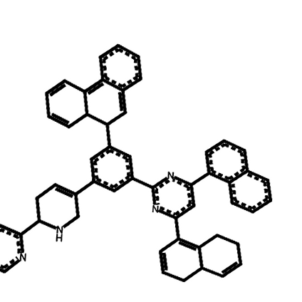 C1=CC2=c3ccccc3=CC(c3cc(C4=CCC(c5ccccn5)NC4)cc(-c4nc(C5=C6CCC=CC6CC=C5)cc(-c5cccc6ccccc56)n4)c3)C2C=C1